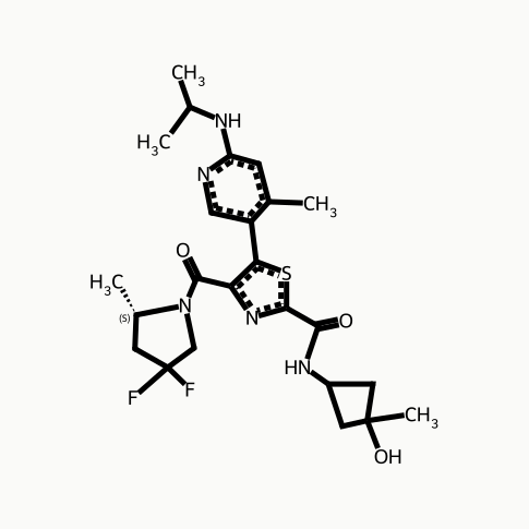 Cc1cc(NC(C)C)ncc1-c1sc(C(=O)NC2CC(C)(O)C2)nc1C(=O)N1CC(F)(F)C[C@@H]1C